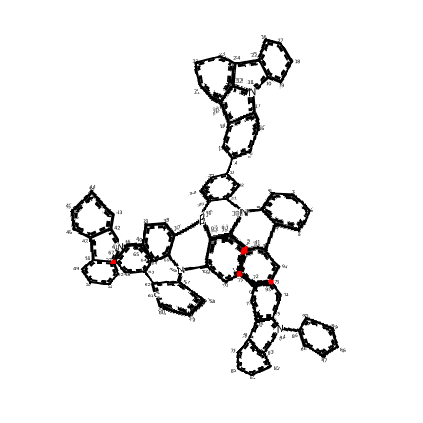 c1ccc(-c2ccccc2N2c3cc(-c4ccc5c(c4)c4cccc6c7ccccc7n5c64)ccc3B3c4ccc(-n5c6ccccc6c6ccccc65)cc4N(c4ccccc4-c4ccccc4)c4cc(-c5ccc6c(c5)c5ccccc5n6-c5ccccc5)cc2c43)cc1